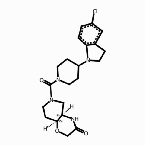 O=C1CO[C@H]2CCN(C(=O)N3CCC(N4CCc5cc(Cl)ccc54)CC3)C[C@H]2N1